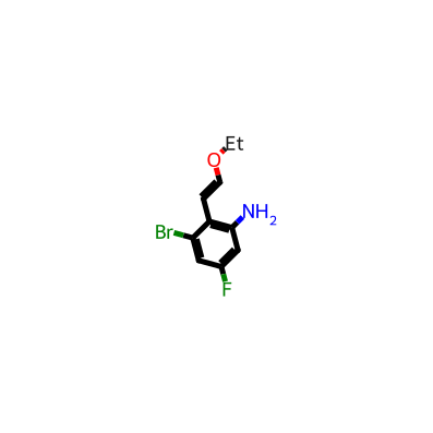 CCOC=Cc1c(N)cc(F)cc1Br